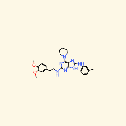 COc1ccc(CCNc2nc(N3CCCCC3)c3nc(Nc4cccc(C)c4)[nH]c3n2)cc1OC